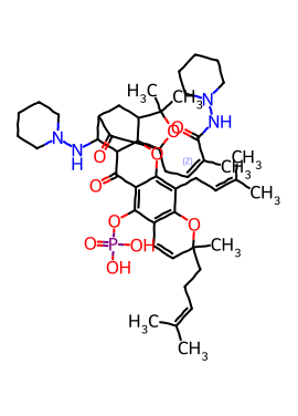 CC(C)=CCCC1(C)C=Cc2c(c(CC=C(C)C)c3c(c2OP(=O)(O)O)C(=O)C2C(NN4CCCCC4)C4CC5C(C)(C)OC(C/C=C(/C)C(=O)NN6CCCCC6)(C4=O)C25O3)O1